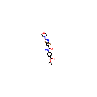 CC(C)(C)OC(=O)c1ccc(NC(=O)c2cc3sc(N4CCOCC4)nc3s2)cc1